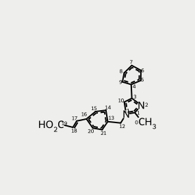 Cc1nc(-c2ccccc2)cn1Cc1ccc(/C=C/C(=O)O)cc1